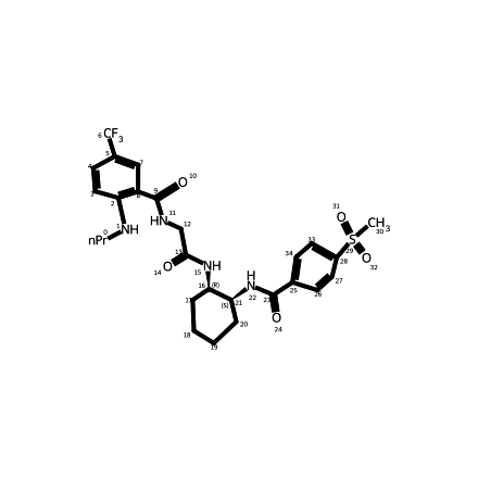 CCCNc1ccc(C(F)(F)F)cc1C(=O)NCC(=O)N[C@@H]1CCCC[C@@H]1NC(=O)c1ccc(S(C)(=O)=O)cc1